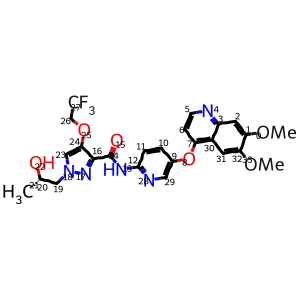 COc1cc2nccc(Oc3ccc(NC(=O)c4nn(C[C@H](C)O)cc4OCC(F)(F)F)nc3)c2cc1OC